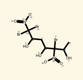 CC(O)C(Br)(C(O)CC(O)C(Br)(Br)[N+](=O)[O-])[N+](=O)[O-]